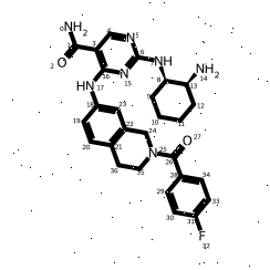 NC(=O)c1cnc(N[C@@H]2CCCC[C@@H]2N)nc1Nc1ccc2c(c1)CN(C(=O)c1ccc(F)cc1)CC2